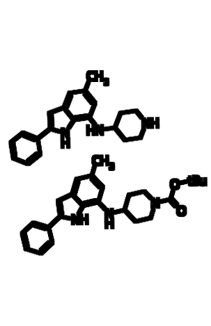 Cc1cc(NC2CCN(C(=O)OC(C)(C)C)CC2)c2[nH]c(-c3ccccc3)cc2c1.Cc1cc(NC2CCNCC2)c2[nH]c(-c3ccccc3)cc2c1